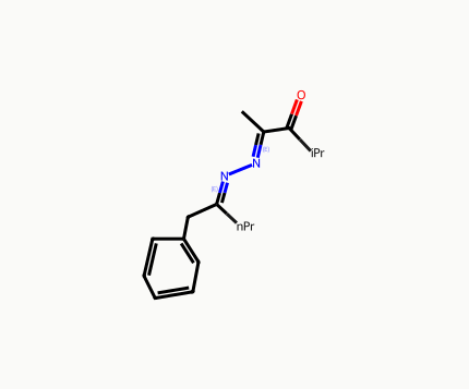 CCC/C(Cc1ccccc1)=N\N=C(/C)C(=O)C(C)C